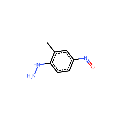 Cc1cc(N=O)ccc1NN